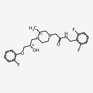 C[C@H]1CN(CC(=O)NCc2c(F)cccc2F)CCN1C[C@@H](O)COc1ccccc1F